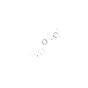 Cc1ncc(C(=O)Nc2cc(Cl)cc(CN3CCN(C(=O)C4CCOCC4)C(C)C3)c2C)cc1C#N